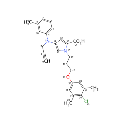 C#CCN(c1cccc(C)c1)c1cc(C(=O)O)n(CCCOc2cc(C)c(Cl)c(C)c2)c1